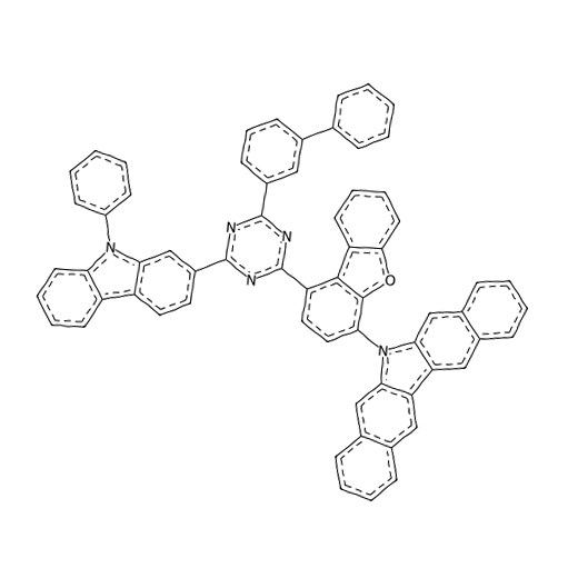 c1ccc(-c2cccc(-c3nc(-c4ccc5c6ccccc6n(-c6ccccc6)c5c4)nc(-c4ccc(-n5c6cc7ccccc7cc6c6cc7ccccc7cc65)c5oc6ccccc6c45)n3)c2)cc1